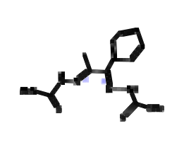 CNC(=S)N/N=C(C)/C(=N/NC(=S)OC)c1ccccc1